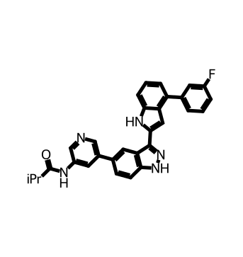 CC(C)C(=O)Nc1cncc(-c2ccc3[nH]nc(-c4cc5c(-c6cccc(F)c6)cccc5[nH]4)c3c2)c1